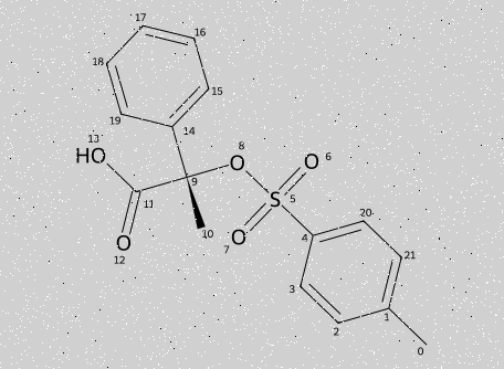 Cc1ccc(S(=O)(=O)O[C@](C)(C(=O)O)c2ccccc2)cc1